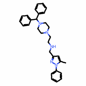 Cc1cc(CNCCN2CCN(C(c3ccccc3)c3ccccc3)CC2)nn1-c1ccccc1